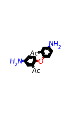 CC(=O)c1cc(N)ccc1Oc1ccc(N)cc1C(C)=O